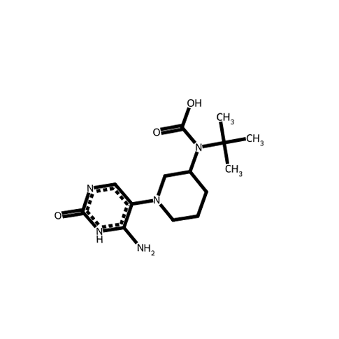 CC(C)(C)N(C(=O)O)C1CCCN(c2cnc(=O)[nH]c2N)C1